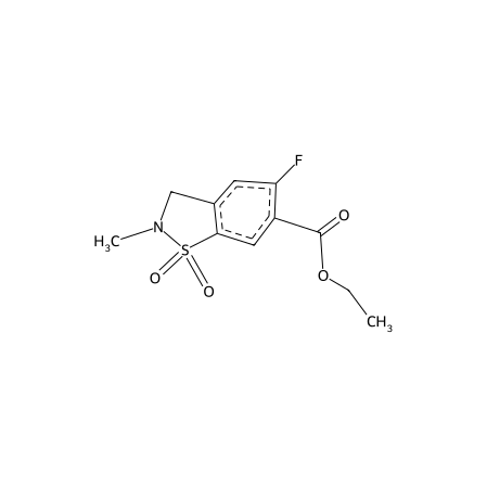 CCOC(=O)c1cc2c(cc1F)CN(C)S2(=O)=O